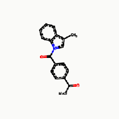 COC(=O)c1ccc(C(=O)n2cc(C)c3ccccc32)cc1